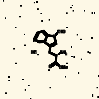 COC(=O)[C@@H](N)Cc1cn(C=O)c2ccccc12.Cl